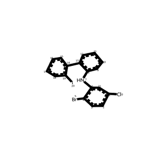 Clc1ccc(Br)c(Nc2ccccc2-c2ccccc2I)c1